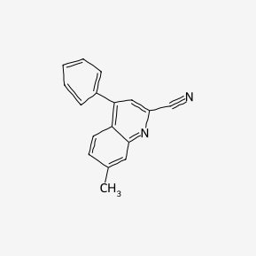 Cc1ccc2c(-c3ccccc3)cc(C#N)nc2c1